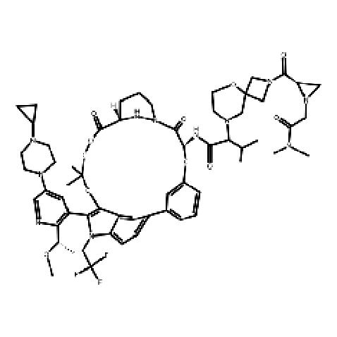 CO[C@@H](C)c1ncc(N2CCN(C3CC3)CC2)cc1-c1c2c3cc(ccc3n1CC(F)(F)F)-c1cccc(c1)C[C@H](NC(=O)C(C(C)C)N1CCOC3(CN(C(=O)[C@H]4CN4CC(=O)N(C)C)C3)C1)C(=O)N1CCC[C@H](N1)C(=O)OCC(C)(C)C2